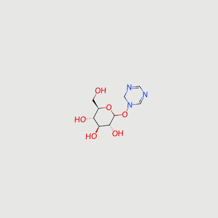 OC[C@H]1OC(ON2C=NC=NC2)[C@H](O)[C@@H](O)[C@@H]1O